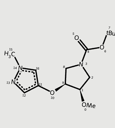 CO[C@@H]1CN(C(=O)OC(C)(C)C)C[C@@H]1Oc1cnn(C)c1